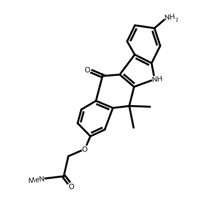 CNC(=O)COc1ccc2c(c1)C(C)(C)c1[nH]c3cc(N)ccc3c1C2=O